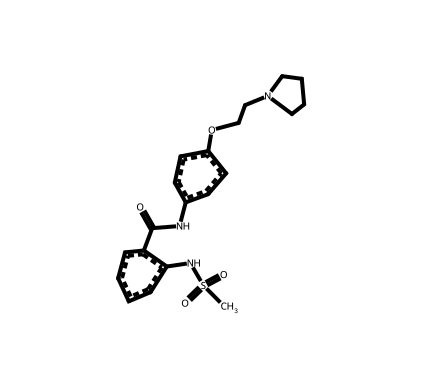 CS(=O)(=O)Nc1ccccc1C(=O)Nc1ccc(OCCN2CCCC2)cc1